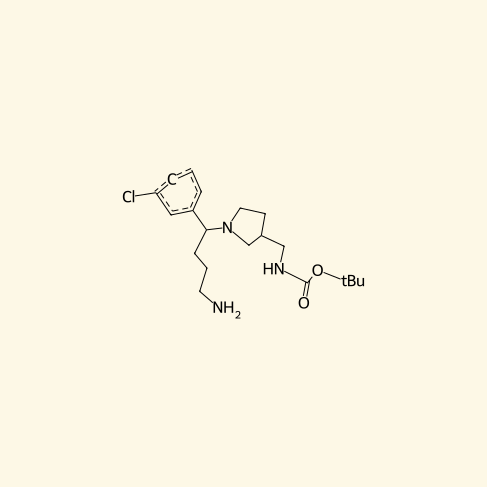 CC(C)(C)OC(=O)NCC1CCN(C(CCCN)c2cccc(Cl)c2)C1